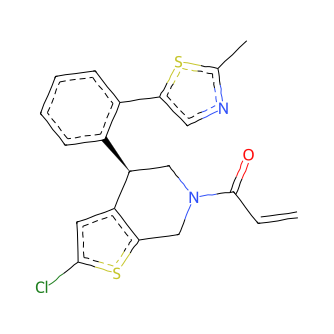 C=CC(=O)N1Cc2sc(Cl)cc2[C@@H](c2ccccc2-c2cnc(C)s2)C1